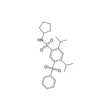 CC(C)c1cc(C(C)C)c(S(=O)(=O)c2ccccc2)cc1S(=O)(=O)NC1CCCC1